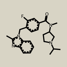 Cc1nc2ccccc2n1Cc1ccc(C(=O)N(C)C2CCN(C(C)C)C2)cc1F